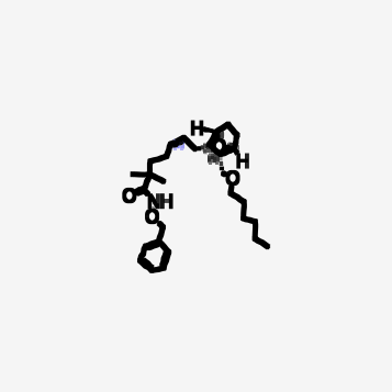 CCCCCCOC[C@@H]1[C@H](C/C=C\CCC(C)(C)C(=O)NOCc2ccccc2)[C@@H]2CC[C@H]1O2